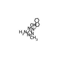 Cc1nc(N)c2nc(O)n(Cc3ccc4ccccc4c3)c2n1